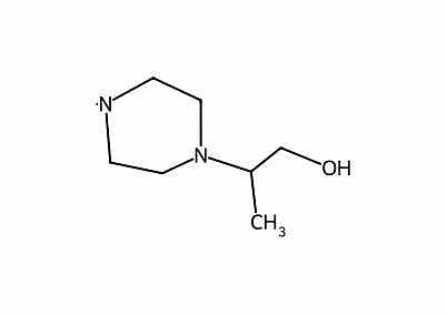 CC(CO)N1CC[N]CC1